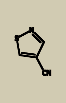 N#Cc1cnsc1